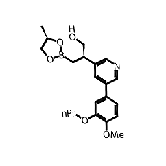 CCCOc1cc(-c2cncc([C@H](CO)CB3OC[C@@H](C)O3)c2)ccc1OC